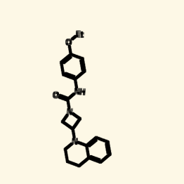 CCOc1ccc(NC(=O)N2CC(N3CCCc4ccccc43)C2)cc1